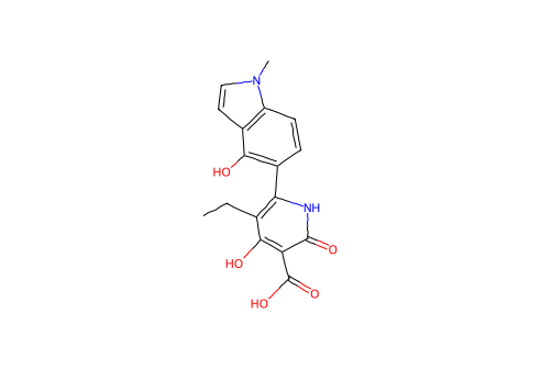 CCc1c(-c2ccc3c(ccn3C)c2O)[nH]c(=O)c(C(=O)O)c1O